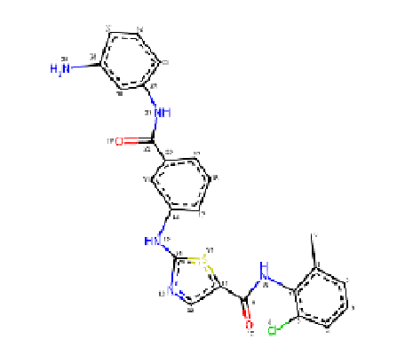 Cc1cccc(Cl)c1NC(=O)c1cnc(Nc2cccc(C(=O)Nc3cccc(N)c3)c2)s1